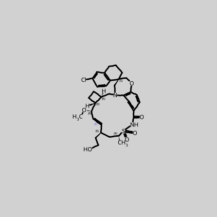 CO[C@H]1/C=C/[C@H](CCO)C[C@@H](C)S(=O)(=O)NC(=O)c2ccc3c(c2)N(C[C@@H]2CC[C@H]21)C[C@@]1(CCCc2cc(Cl)ccc21)CO3